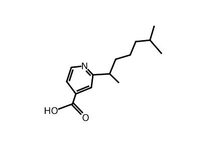 CC(C)CCCC(C)c1cc(C(=O)O)ccn1